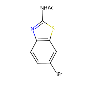 CC(=O)Nc1nc2ccc(C(C)C)cc2s1